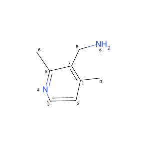 Cc1c[c]nc(C)c1CN